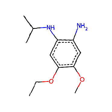 CCOc1cc(NC(C)C)c(N)cc1OC